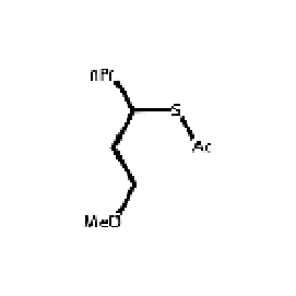 CCCC(CCOC)SC(C)=O